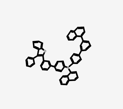 c1ccc(-c2c(-c3cccc(-c4ccc(N(c5ccc(-c6cccc(-c7cccc8ccccc78)c6)cc5)c5cccc6ccccc56)cc4)c3)oc3ccccc23)cc1